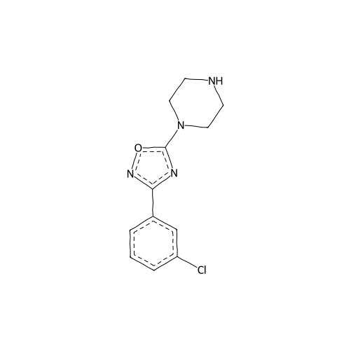 Clc1cccc(-c2noc(N3CCNCC3)n2)c1